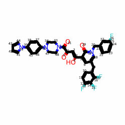 O=C(C=C(O)c1cc(Cc2ccc(F)c(F)c2F)cn(Cc2cccc(F)c2)c1=O)C(=O)N1CCN(c2ccc(-n3cccc3)cc2)CC1